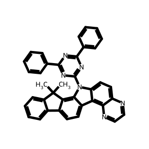 CC1(C)c2ccccc2-c2ccc3c4c5nccnc5ccc4n(-c4nc(-c5ccccc5)nc(-c5ccccc5)n4)c3c21